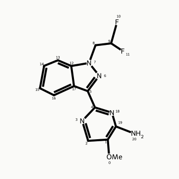 COc1cnc(-c2nn(CC(F)F)c3ccccc23)nc1N